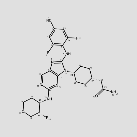 N#Cc1cc(F)c(Nc2nc3cnc(N[C@H]4CCOC[C@H]4F)nc3n2[C@H]2CC[C@@H](CC(N)=O)CC2)c(F)c1